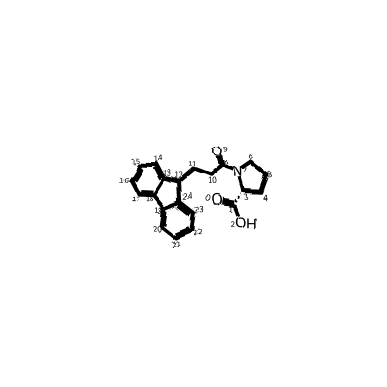 O=C(O)[C@H]1CCCN1C(=O)CCC1c2ccccc2-c2ccccc21